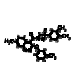 Cc1ccc2c(C(=O)NCC(F)(F)c3ccc(C)c(C)c3)c(Oc3cccc(C(F)(F)F)c3)nnc2c1